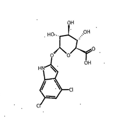 O=C(O)[C@H]1O[C@@H](Oc2cc3c(Cl)cc(Cl)cc3[nH]2)[C@H](O)[C@@H](O)[C@@H]1O